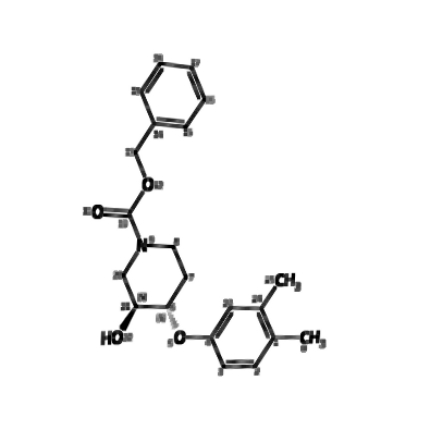 Cc1ccc(O[C@H]2CCN(C(=O)OCc3ccccc3)C[C@@H]2O)cc1C